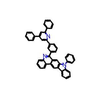 c1ccc(-c2cc(-c3ccccc3)nc(-c3cccc(-c4nc5ccccc5c5cc6c7ccccc7n(-c7ccccc7)c6cc45)c3)c2)cc1